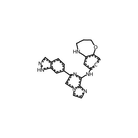 c1cn2cc(-c3ccc4cn[nH]c4c3)nc(Nc3ccc4c(c3)NCCCO4)c2n1